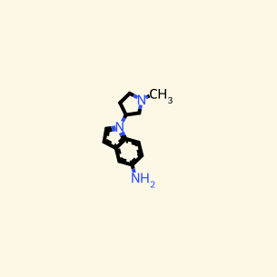 CN1CCC(n2ccc3cc(N)ccc32)C1